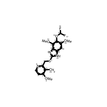 COc1ccnc(CSc2nc3c(OC)c(OC(F)F)c(OC)cc3[nH]2)c1C